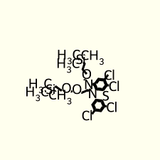 C[Si](C)(C)CCOCOCc1nc2c(Sc3ccc(Cl)cc3Cl)c(Cl)c(Cl)cc2n1COCC[Si](C)(C)C